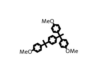 COc1ccc(C(C)(C)c2ccc(C(C)(c3ccc(OC)cc3)c3ccc(OC)cc3)cc2)cc1